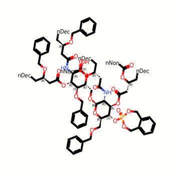 CCCCCCCCCCC[C@H](CC(=O)N[C@@H]1[C@@H](OC(=O)C[C@@H](CCCCCCCCCCC)OCc2ccccc2)[C@H](OCc2ccccc2)[C@@H](CO[C@@H]2O[C@H](COCc3ccccc3)[C@@H](OP3(=O)OCc4ccccc4CO3)[C@H](OC(=O)C[C@@H](CCCCCCCCCCC)OC(=O)CCCCCCCCC)[C@H]2NC(=O)C[C@@H](CCCCCCCCCCC)OC(=O)CCCCCCCCC)O[C@@H]1O)OCc1ccccc1